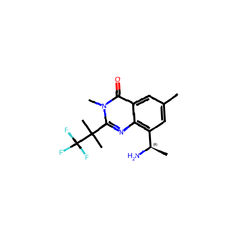 Cc1cc([C@@H](C)N)c2nc(C(C)(C)C(F)(F)F)n(C)c(=O)c2c1